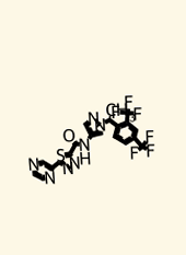 C[C@H](c1ccc(C(F)(F)F)cc1C(F)(F)F)n1cc(NC(=O)c2nnc(-c3cnccn3)s2)cn1